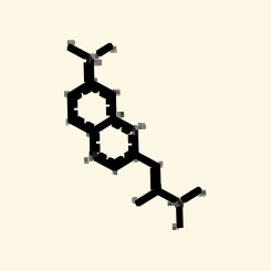 C/C(=C\c1cnc2ccc(=[N+](C)C)cc-2s1)N(C)C